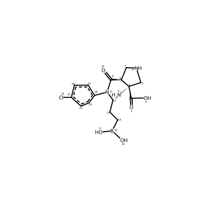 N[C@@]1(C(=O)O)CNC[C@@H]1C(=O)N(CCCB(O)O)c1ccc(Cl)cc1